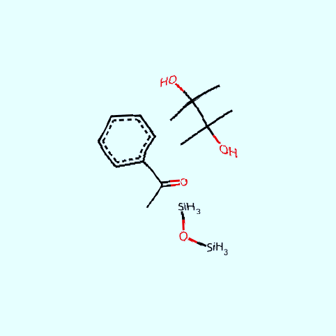 CC(=O)c1ccccc1.CC(C)(O)C(C)(C)O.[SiH3]O[SiH3]